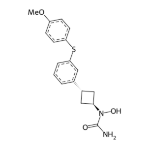 COc1ccc(Sc2cccc([C@H]3C[C@H](N(O)C(N)=O)C3)c2)cc1